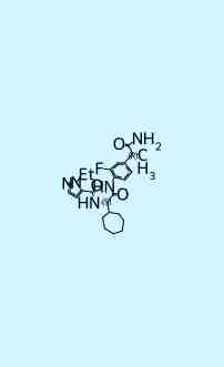 CCn1nccc1C(=O)N[C@H](C(=O)Nc1ccc([C@@H](C)C(N)=O)cc1F)C1CCCCCC1